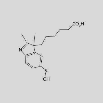 CC1=Nc2ccc(SO)cc2C1(C)CCCCCC(=O)O